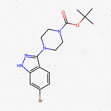 CC(C)(C)OC(=O)N1CCN(c2n[nH]c3cc(Br)ccc23)CC1